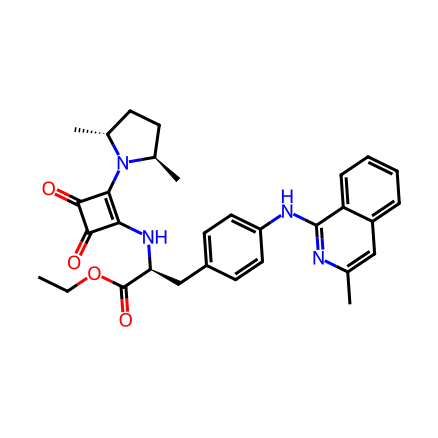 CCOC(=O)[C@H](Cc1ccc(Nc2nc(C)cc3ccccc23)cc1)Nc1c(N2[C@H](C)CC[C@H]2C)c(=O)c1=O